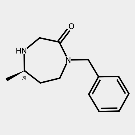 C[C@@H]1CCN(Cc2ccccc2)C(=O)CN1